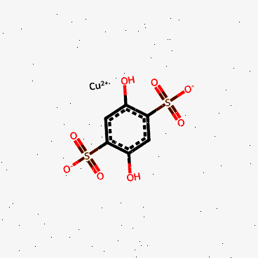 O=S(=O)([O-])c1cc(O)c(S(=O)(=O)[O-])cc1O.[Cu+2]